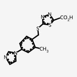 Cc1cc(-n2ccnc2)ccc1CSc1nnc(C(=O)O)s1